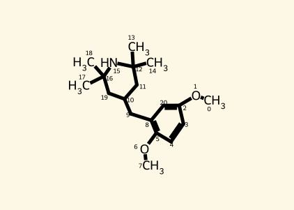 COc1ccc(OC)c(CC2CC(C)(C)NC(C)(C)C2)c1